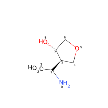 NC(C(=O)O)[C@@H]1COC[C@H]1O